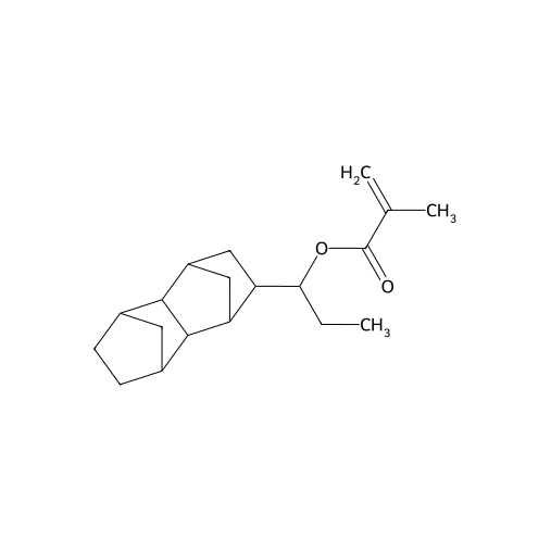 C=C(C)C(=O)OC(CC)C1CC2CC1C1C3CCC(C3)C21